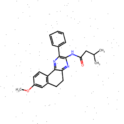 COc1ccc2c(c1)CCc1nc(NC(=O)CC(C)C)c(-c3ccccc3)nc1-2